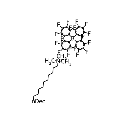 CCCCCCCCCCCCCCCCCCCC[N+](C)(C)C.Fc1c(F)c(F)c([B-](c2c(F)c(F)c(F)c(F)c2F)(c2c(F)c(F)c(F)c(F)c2F)c2c(F)c(F)c(F)c(F)c2F)c(F)c1F